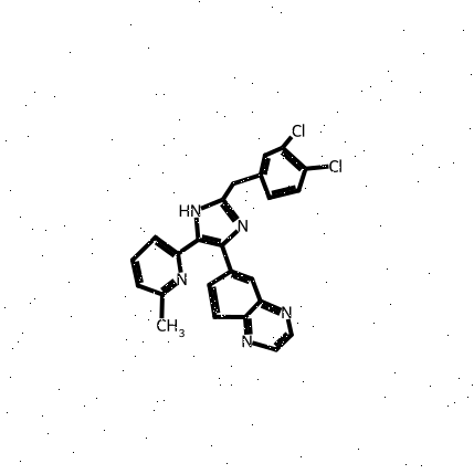 Cc1cccc(-c2[nH]c(Cc3ccc(Cl)c(Cl)c3)nc2-c2ccc3nccnc3c2)n1